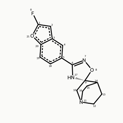 Fc1cc2cc(C3=NO[C@@]4(CN5CCC4CC5)N3)ccc2o1